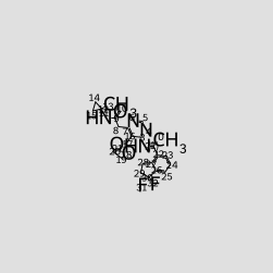 C[C@@H](Nc1ncnc(CC(=O)NC2(C)CC2)c1C1OCCO1)c1cccc2c1CCC2(F)F